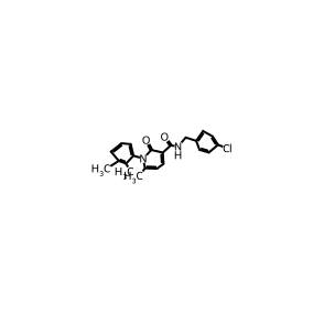 Cc1cccc(-n2c(C)ccc(C(=O)NCc3ccc(Cl)cc3)c2=O)c1C